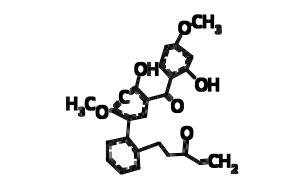 C=CC(=O)CCc1ccccc1-c1cc(C(=O)c2ccc(OC)cc2O)c(O)cc1OC